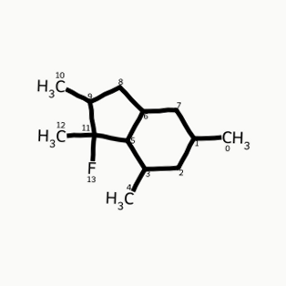 CC1CC(C)C2C(C1)CC(C)C2(C)F